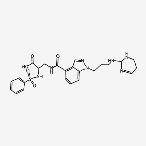 O=C(NCC(NS(=O)(=O)c1ccccc1)C(=O)O)c1cccc2c1cnn2CCCNC1N=CCCN1